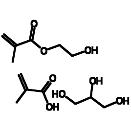 C=C(C)C(=O)O.C=C(C)C(=O)OCCO.OCC(O)CO